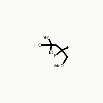 CCCC(C)(CC)CC(F)(F)COC